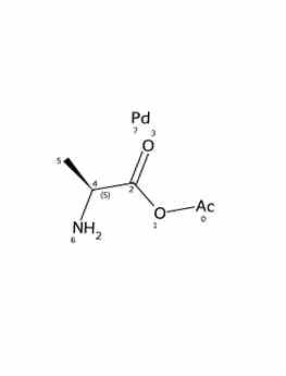 CC(=O)OC(=O)[C@H](C)N.[Pd]